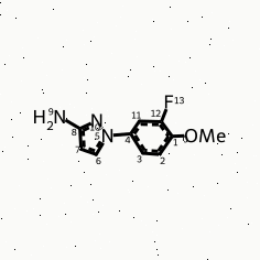 COc1ccc(-n2ccc(N)n2)cc1F